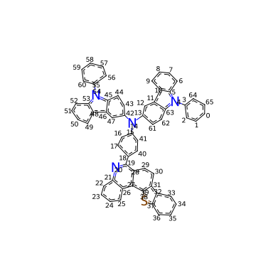 c1ccc(-n2c3ccccc3c3cc(N(c4ccc(-c5nc6ccccc6c6c5ccc5c7ccccc7sc56)cc4)c4ccc5c(c4)c4ccccc4n5-c4ccccc4)ccc32)cc1